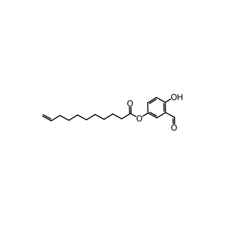 C=CCCCCCCCCC(=O)Oc1ccc(O)c(C=O)c1